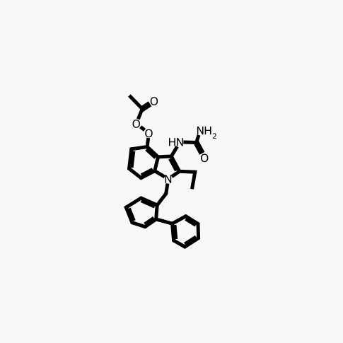 CCc1c(NC(N)=O)c2c(OOC(C)=O)cccc2n1Cc1ccccc1-c1ccccc1